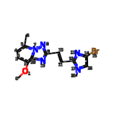 COc1ccc(C)n2nc(C=Cc3nc(Br)cn3C)nc12